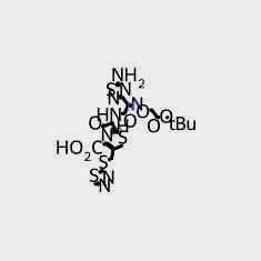 CC(C)(C)OC(=O)CO/N=C(\C(=O)NC1C(=O)N2C(C(=O)O)=C(CSc3nncs3)CS[C@H]12)c1nsc(N)n1